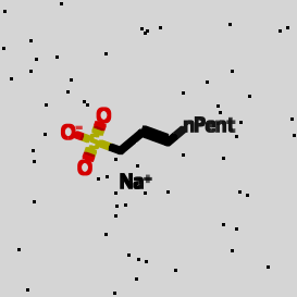 CCCCC/C=C/CS(=O)(=O)[O-].[Na+]